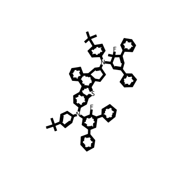 CC(C)(C)C1=CCC(N(c2ccc3c(c2)sc2c4c(c5ccccc5c23)C=C(N(c2ccc(C(C)(C)C)cc2)C2C=C(c3ccccc3)C=C(c3ccccc3)C2(C)F)CC4)c2cc(-c3ccccc3)cc(-c3ccccc3)c2F)C=C1